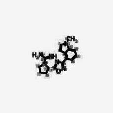 Cn1ccc2c(-c3noc([C@@H]4CCCN4C(=N)N)n3)cccc21